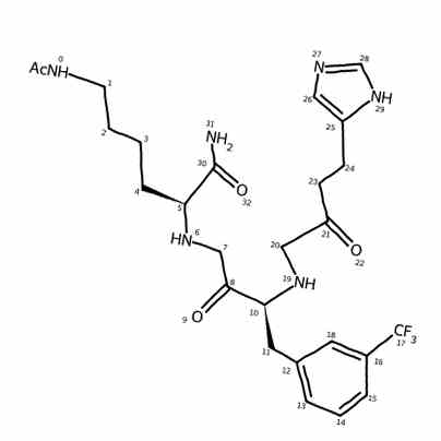 CC(=O)NCCCC[C@H](NCC(=O)[C@H](Cc1cccc(C(F)(F)F)c1)NCC(=O)CCc1cnc[nH]1)C(N)=O